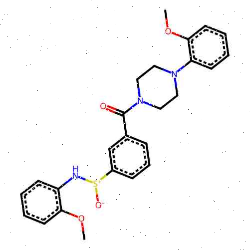 COc1ccccc1N[S+]([O-])c1cccc(C(=O)N2CCN(c3ccccc3OC)CC2)c1